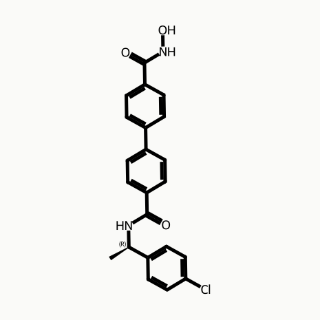 C[C@@H](NC(=O)c1ccc(-c2ccc(C(=O)NO)cc2)cc1)c1ccc(Cl)cc1